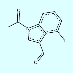 CC(=O)n1cc(C=O)c2c(I)cccc21